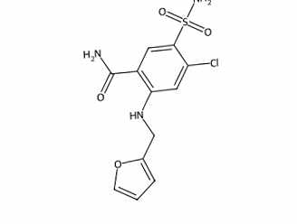 NC(=O)c1cc(S(N)(=O)=O)c(Cl)cc1NCc1ccco1